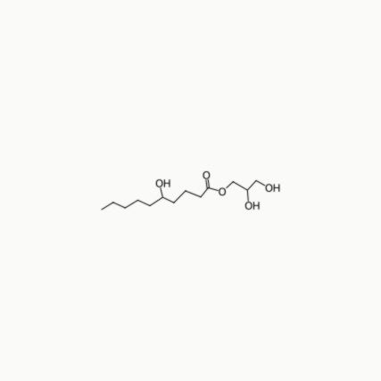 CCCCCC(O)CCCC(=O)OCC(O)CO